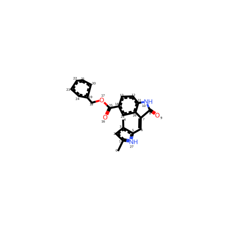 Cc1cc(C)c(C=C2C(=O)Nc3ccc(C(=O)OCc4ccccc4)cc32)[nH]1